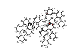 CC(Cc1ccc(O)c(CC(C)Oc2ccc(-c3ccccc3)c(-c3ccccc3)c2-c2ccccc2)c1CC(C)Oc1ccc(-c2ccccc2)c(-c2ccccc2)c1-c1ccccc1)Oc1ccc(-c2ccccc2)c(-c2ccccc2)c1-c1ccccc1